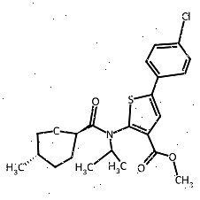 COC(=O)c1cc(-c2ccc(Cl)cc2)sc1N(C(=O)[C@H]1CC[C@H](C)CC1)C(C)C